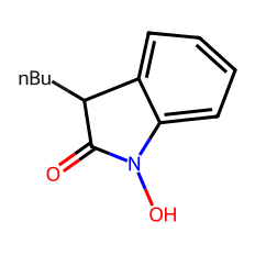 CCCCC1C(=O)N(O)c2ccccc21